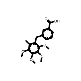 COc1c(C)c(Cc2cccc(C(=O)O)c2)c(OC)c(OC)c1OC